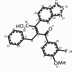 COc1ccc(C(=O)C(Cc2ccccc2)=C(C(=O)O)c2ccc3nsnc3c2)cc1F